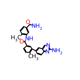 Cc1ccc(C(N)=O)cc1NC(=O)c1ccc(C)c(-c2ccc3nc(N)ncc3c2)c1